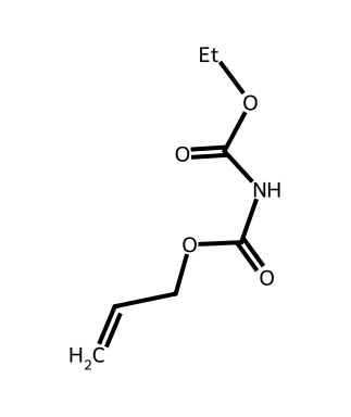 C=CCOC(=O)NC(=O)OCC